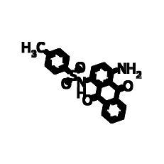 Cc1ccc(S(=O)(=O)Nc2ccc(N)c3c2C(=O)c2ccccc2C3=O)cc1